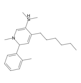 CCCCCCC1=CC(c2ccccc2C)N(C)C=C1[SiH](C)C